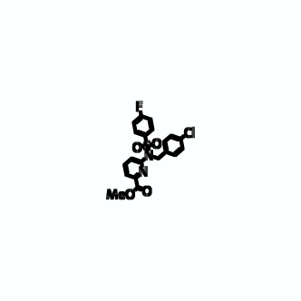 COC(=O)c1cccc(N(Cc2ccc(Cl)cc2)S(=O)(=O)c2ccc(F)cc2)n1